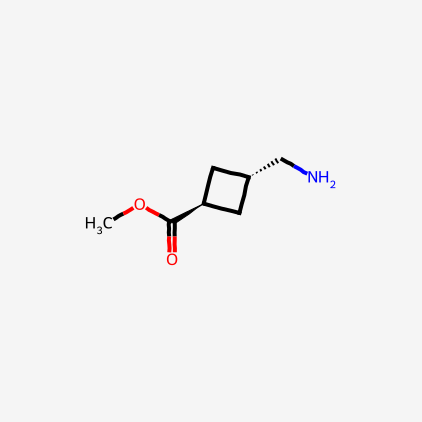 COC(=O)[C@H]1C[C@H](CN)C1